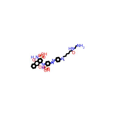 CN(CCCCCC(=O)NCCN)c1ccc(/N=N/c2ccc(Nc3cc(S(=O)(=O)O)c(N)c4c3C(=O)c3ccccc3C4=O)c(S(=O)(=O)O)c2)cc1